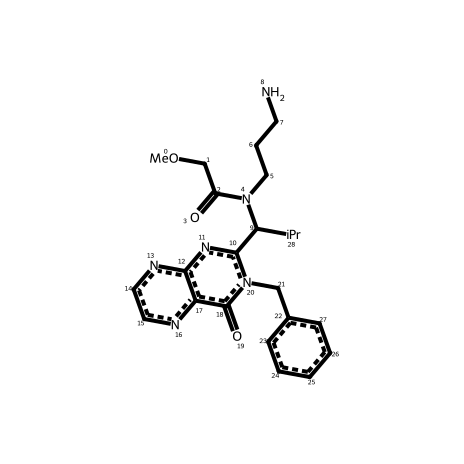 COCC(=O)N(CCCN)C(c1nc2nccnc2c(=O)n1Cc1ccccc1)C(C)C